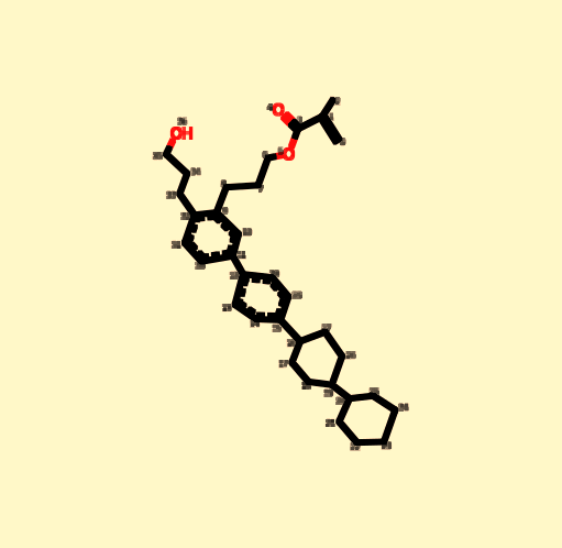 C=C(C)C(=O)OCCCc1cc(-c2ccc(C3CCC(C4CCCCC4)CC3)cc2)ccc1CCCO